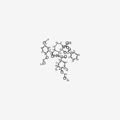 COCOc1ccc(OC)cc1C(=O)C1CCCN(C(=O)O)C(OC(=O)c2ccccc2)C1NC(=O)c1cc(C)c(OCOC)c(C)c1